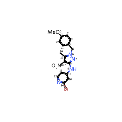 COc1ccc(Cn2nc(Nc3ccnc(Br)c3)c([N+](=O)[O-])c2C)cc1